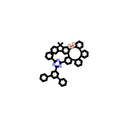 CC1(C)c2ccccc2-c2cc3c(cc21)S(=O)(=O)c1ccccc1-c1ccccc1-c1ccccc1-c1ccc(-c2nc(-c4ccccc4)nc(-c4cc(-c5ccccc5)cc(-c5ccccc5)c4)n2)cc1-3